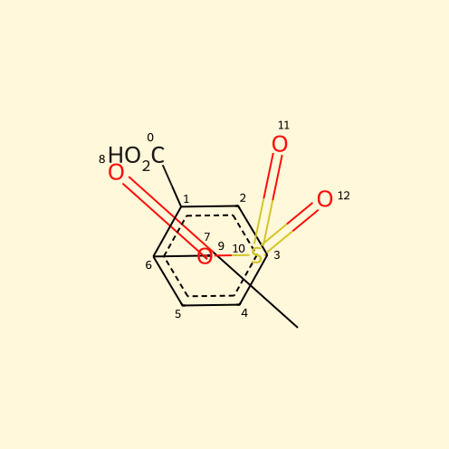 O=C(O)c1cc2ccc1C(=O)OS2(=O)=O